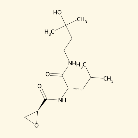 CC(C)C[C@H](NC(=O)[C@@H]1CO1)C(=O)NCCC(C)(C)O